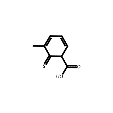 CC1=CC=CC(C(=O)O)C1=S